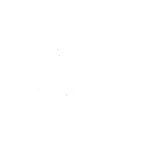 CCCC(Br)C(=O)O.[KH]